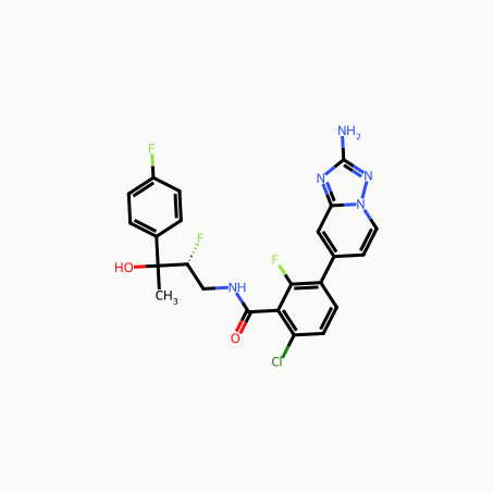 CC(O)(c1ccc(F)cc1)[C@H](F)CNC(=O)c1c(Cl)ccc(-c2ccn3nc(N)nc3c2)c1F